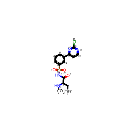 CC(C)CC(NC(=O)O)C(=O)NS(=O)(=O)c1cccc(-c2ccnc(Cl)n2)c1